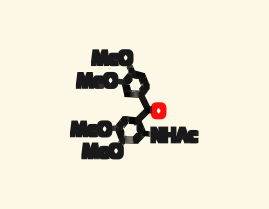 COc1ccc(C(=O)c2cc(OC)c(OC)cc2NC(C)=O)cc1OC